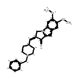 COc1cc2cc3n(c2cc1OC)C/C(=C/C1CCN(Cc2ccccc2)CC1)C3=O